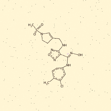 Cc1ccc(N/C(=N\O)c2nonc2NCC2=CN(S(C)(=O)=O)CC2)cc1Cl